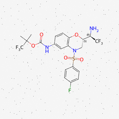 CC(C)(OC(=O)Nc1ccc2c(c1)N(S(=O)(=O)c1ccc(F)cc1)C[C@@H]([C@@H](N)C(F)(F)F)O2)C(F)(F)F